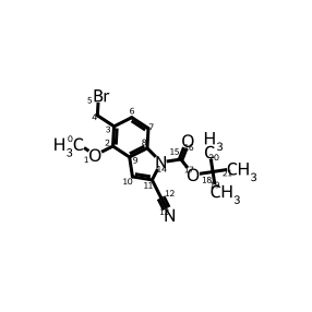 COc1c(CBr)ccc2c1cc(C#N)n2C(=O)OC(C)(C)C